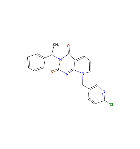 CC(c1ccccc1)n1c(=S)nc2n(Cc3ccc(Cl)nc3)cccc-2c1=O